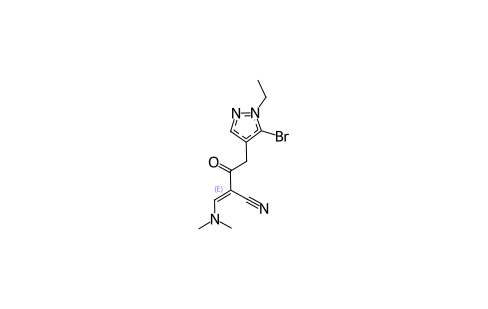 CCn1ncc(CC(=O)/C(C#N)=C/N(C)C)c1Br